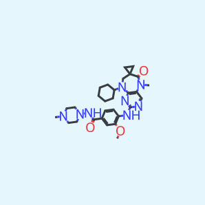 COc1cc(C(=O)NN2CCN(C)CC2)ccc1Nc1ncc2c(n1)N(C1CCCCC1)CC1(CC1)C(=O)N2C